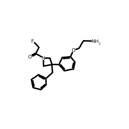 NCCOc1cccc(C2(Cc3ccccc3)CN(C(=O)CF)C2)c1